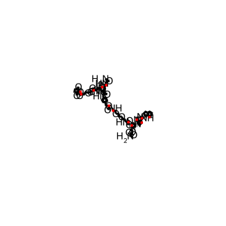 CC(C)[C@@H](NC(=O)CCOCCC(=O)ON1C(=O)CCC1=O)C(=O)N[C@H](CCCNC(N)=O)C(=O)Nc1ccc(COC(=O)NCCOCCOCCNC(=O)O[C@H]2C[C@H](n3ccc4c(N[C@H]5CCc6ccccc65)ncnc43)C[C@H]2COS(N)(=O)=O)cc1